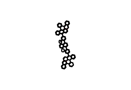 C1=CC2=C(c3ccc4c(c3)Oc3ccc5c6c(ccc-4c36)-c3ccc(-c4c6ccccc6c(-c6ccccc6C6=c7ccccc7=CCC6)c6ccccc46)cc3O5)c3ccccc3C(C3=C(c4cccc5ccccc45)C=CCC3)C2C=C1